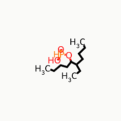 CCCCC(CC)C(CCCC)O[PH](=O)O